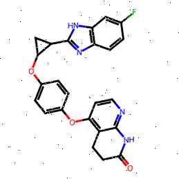 O=C1CCc2c(Oc3ccc(OC4CC4c4nc5ccc(F)cc5[nH]4)cc3)ccnc2N1